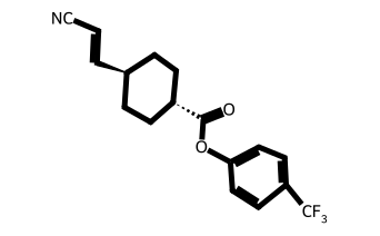 N#CC=C[C@H]1CC[C@H](C(=O)Oc2ccc(C(F)(F)F)cc2)CC1